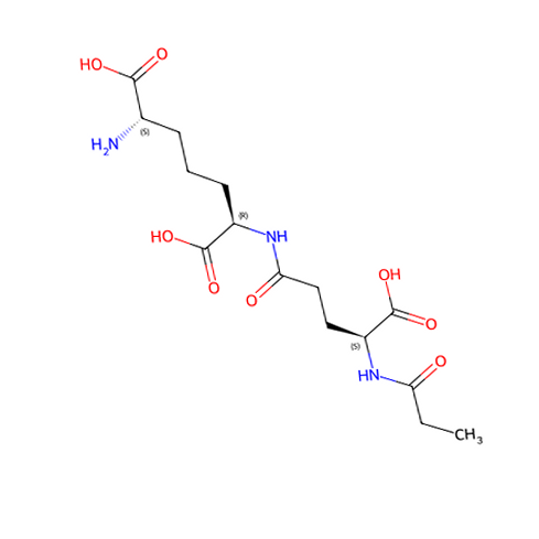 CCC(=O)N[C@@H](CCC(=O)N[C@H](CCC[C@H](N)C(=O)O)C(=O)O)C(=O)O